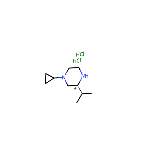 CC(C)[C@@H]1CN(C2CC2)CCN1.Cl.Cl